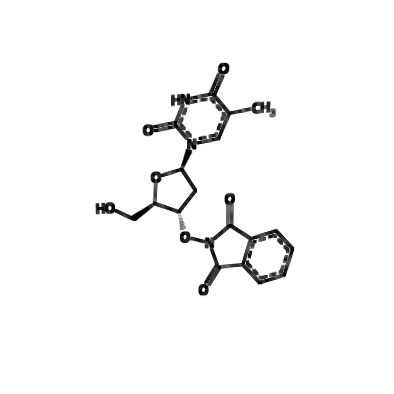 Cc1cn([C@H]2C[C@H](ON3C(=O)c4ccccc4C3=O)[C@@H](CO)O2)c(=O)[nH]c1=O